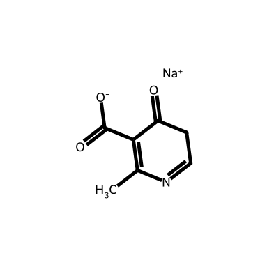 CC1=C(C(=O)[O-])C(=O)CC=N1.[Na+]